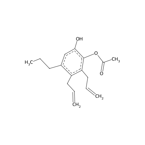 C=CCc1c(CCC)cc(O)c(OC(C)=O)c1CC=C